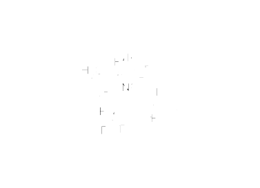 C=C(F)C(F)(N1CC(C(F)(F)F)CC(C(F)(F)F)C1)C(F)(F)F